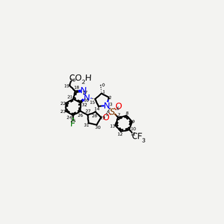 C[C@@H]1CN(S(=O)(=O)c2ccc(C(F)(F)F)cc2)C[C@@H]1n1nc(CC(=O)O)c2ccc(F)c(C3CCCC3)c21